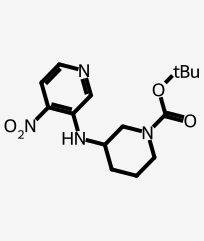 CC(C)(C)OC(=O)N1CCCC(Nc2cnccc2[N+](=O)[O-])C1